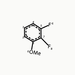 COc1[c]ccc(F)c1F